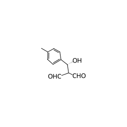 Cc1ccc([C@H](O)C(C=O)C=O)cc1